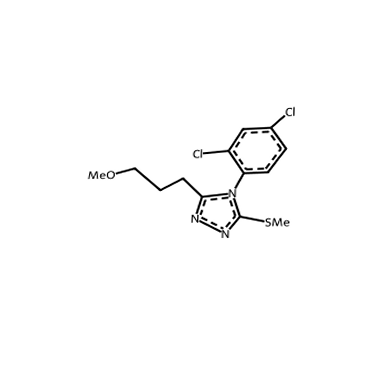 COCCCc1nnc(SC)n1-c1ccc(Cl)cc1Cl